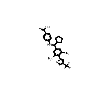 Cc1cc(C(Nc2ccc(C(=O)O)cn2)C2CCCC2)cc(C)c1-n1cc(C(F)(F)F)cn1